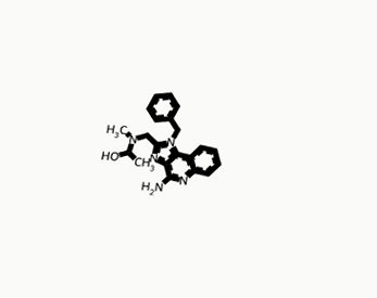 CC(O)N(C)Cc1nc2c(N)nc3ccccc3c2n1Cc1ccccc1